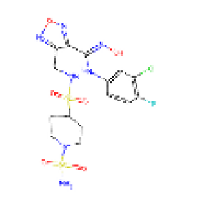 NS(=O)(=O)N1CCC(S(=O)(=O)NCc2nonc2/C(=N/O)Nc2ccc(F)c(Cl)c2)CC1